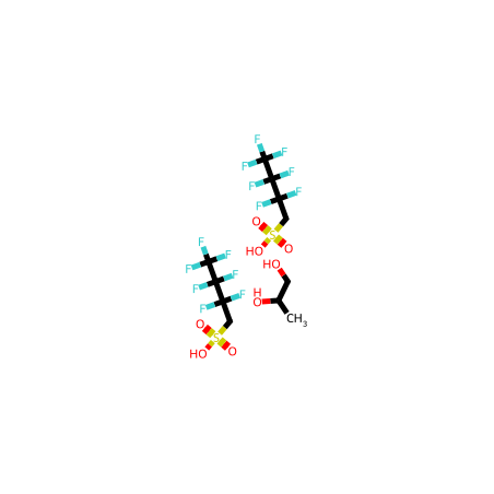 CC(O)CO.O=S(=O)(O)CC(F)(F)C(F)(F)C(F)(F)F.O=S(=O)(O)CC(F)(F)C(F)(F)C(F)(F)F